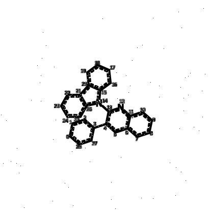 c1ccc(-c2cc3ccccc3nc2-n2c3ccccc3c3ccccc32)cc1